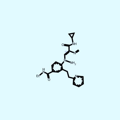 C=N/C(=C\N(N)c1ccc(C(=O)NCC)cc1CCc1ccccn1)C(=O)NC1CC1